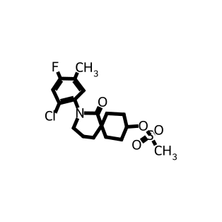 Cc1cc(N2CCCC3(CCC(OS(C)(=O)=O)CC3)C2=O)c(Cl)cc1F